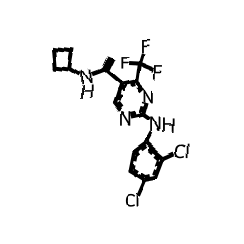 C=C(NC1CCC1)c1cnc(Nc2ccc(Cl)cc2Cl)nc1C(F)(F)F